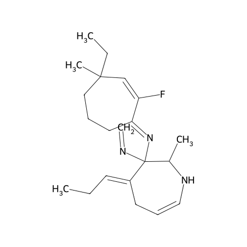 C=NC1(/N=C2\CCCC(C)(CC)C=C2F)/C(=C/CC)CC=CNC1C